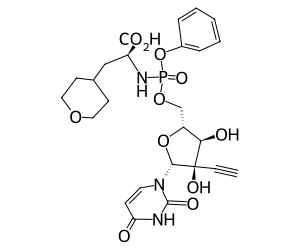 C#C[C@@]1(O)[C@H](O)[C@@H](COP(=O)(N[C@@H](CC2CCOCC2)C(=O)O)Oc2ccccc2)O[C@H]1n1ccc(=O)[nH]c1=O